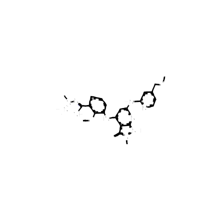 COCc1ccnc(Nc2cc(Nc3cccc(/C(N)=N/N(C)N)c3OC)c3c(=O)n(C)[nH]c3n2)c1